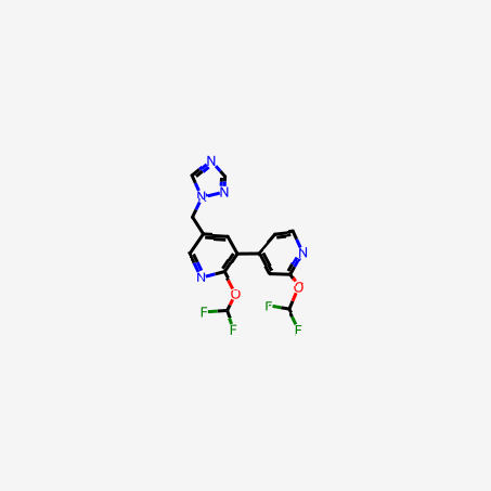 FC(F)Oc1cc(-c2cc(Cn3cncn3)cnc2OC(F)F)ccn1